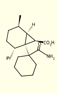 CC(C)[C@@H]1CC[C@@H](C)[C@H]2[C@@H](C(=O)O)[C@]21C1(C(N)=O)CCCCC1